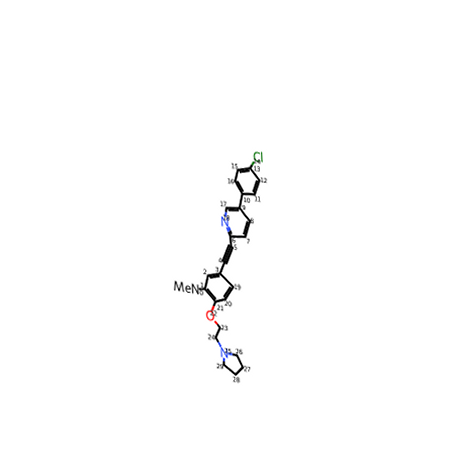 CNc1cc(C#Cc2ccc(-c3ccc(Cl)cc3)cn2)ccc1OCCN1CCCC1